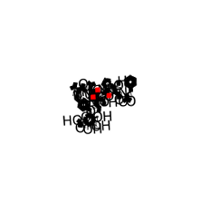 CC[C@H](C)[C@@H]([C@H](CC(=O)N1CCC[C@H]1[C@H](OC)[C@@H](C)C(=O)N[C@@H](Cc1ccccc1)C(=O)O)OC)N(C)C(=O)[C@@H](NC(=O)[C@H](C(C)C)[N+](C)(C)Cc1ccc(O[C@@H]2O[C@H](C(=O)O)[C@@H](O)[C@@H](O)[C@@H]2O)c(NC(=O)CCN)c1)C(C)C